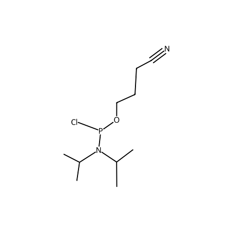 CC(C)N(C(C)C)P(Cl)OCCCC#N